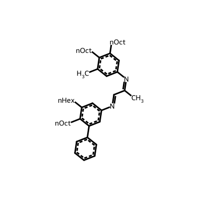 CCCCCCCCc1cc(N=C(C)C=Nc2cc(CCCCCC)c(CCCCCCCC)c(-c3ccccc3)c2)cc(C)c1CCCCCCCC